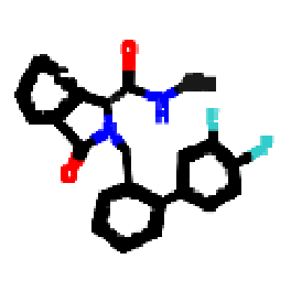 CC(C)(C)NC(=O)[C@H]1c2ccccc2C(=O)N1Cc1ccccc1-c1ccc(F)c(F)c1